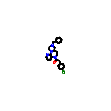 O=C(Cc1ccc(Cl)cc1)N1CCC2CN(Cc3ccccc3)CCN2c2ncccc21